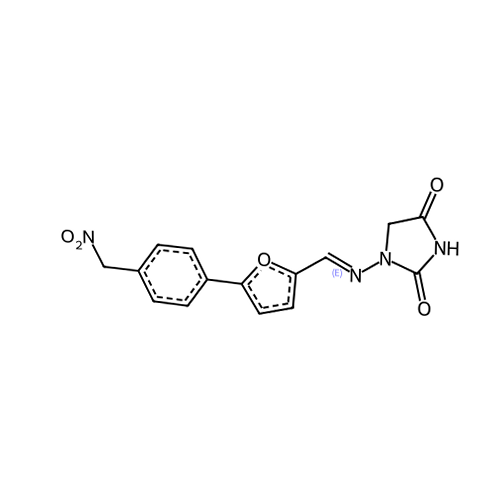 O=C1CN(/N=C/c2ccc(-c3ccc(C[N+](=O)[O-])cc3)o2)C(=O)N1